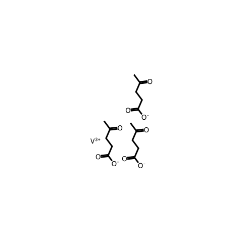 CC(=O)CCC(=O)[O-].CC(=O)CCC(=O)[O-].CC(=O)CCC(=O)[O-].[V+3]